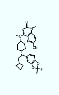 Cn1c(=O)cc(N(C)[C@H]2CC[C@@H](N(CC3CCC3)c3ccc4c(c3)OC(F)(F)O4)CC2)c2nc(C#N)ccc21